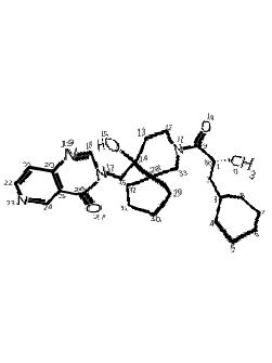 C[C@H](CC1CCCCC1)C(=O)N1CCC(O)(Cn2cnc3ccncc3c2=O)C2(CCCC2)C1